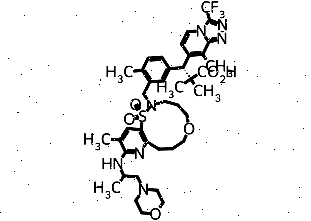 Cc1ccc([C@H](c2ccn3c(C(F)(F)F)nnc3c2C)C(C)(C)C(=O)O)cc1CN1CCCOCCCc2nc(NC(C)CN3CCOCC3)c(C)cc2S1(=O)=O